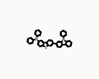 c1ccc(N(c2ccccc2)c2ccc3sc4cc(-c5ccc6c7ccccc7n(-c7ccccc7)c6c5)ccc4c3c2)cc1